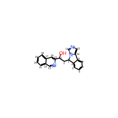 OC(CC1c2ccccc2-c2cncn21)c1cc2ccccc2cn1